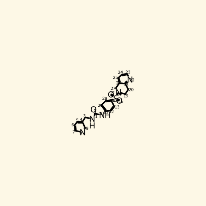 O=C(NCc1cccnc1)Nc1ccc(S(=O)(=O)N2CCc3ncccc3C2)cc1